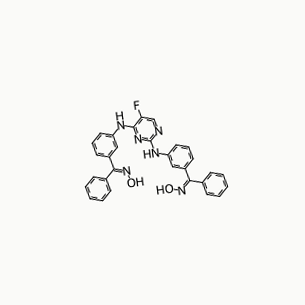 ON=C(c1ccccc1)c1cccc(Nc2ncc(F)c(Nc3cccc(C(=NO)c4ccccc4)c3)n2)c1